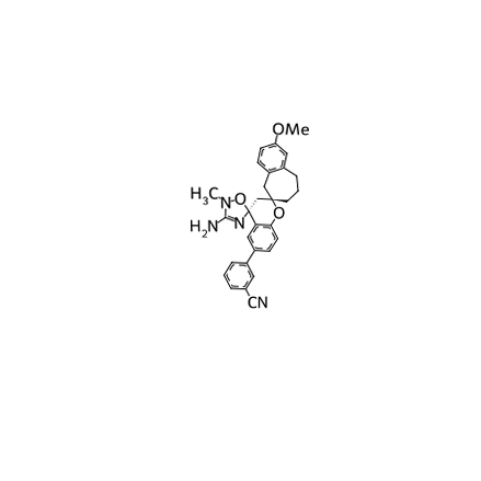 COc1ccc2c(c1)CCC[C@]1(C2)C[C@@]2(N=C(N)N(C)O2)c2cc(-c3cccc(C#N)c3)ccc2O1